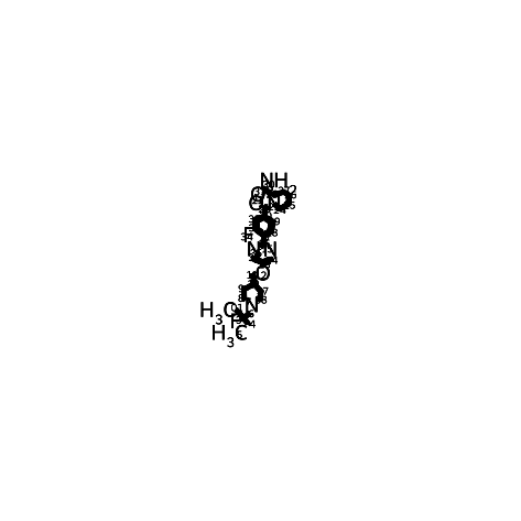 CCC(F)(CC)CN1CCC(COc2cnc(-c3ccc(C(=O)N4CCCCC4C(N)=O)cc3F)nc2)CC1